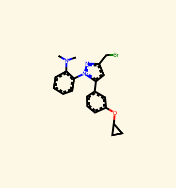 CN(C)c1ccccc1-n1nc(CBr)cc1-c1cccc(OC2CC2)c1